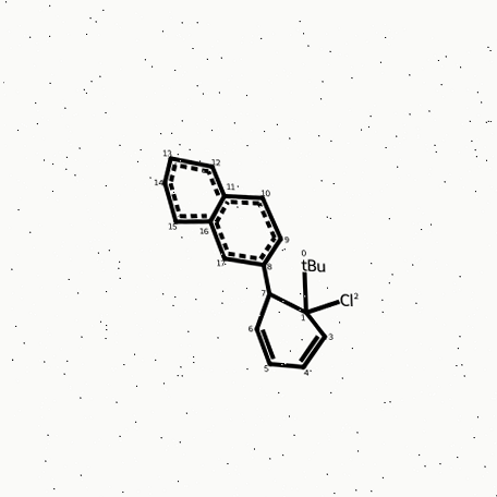 CC(C)(C)C1(Cl)C=CC=CC1c1ccc2ccccc2c1